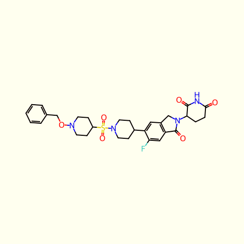 O=C1CCC(N2Cc3cc(C4CCN(S(=O)(=O)C5CCN(OCc6ccccc6)CC5)CC4)c(F)cc3C2=O)C(=O)N1